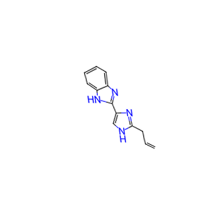 C=CCc1nc(-c2nc3ccccc3[nH]2)c[nH]1